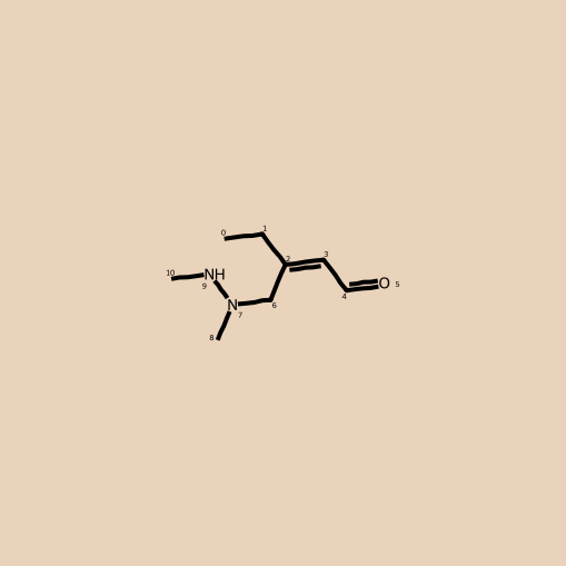 CC/C(=C/C=O)CN(C)NC